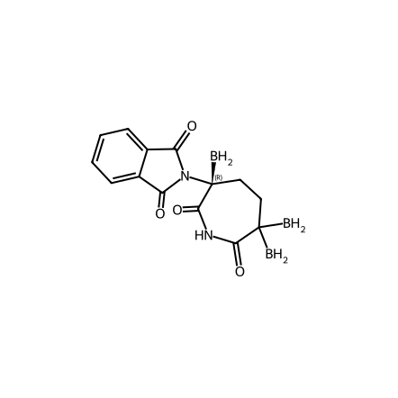 BC1(B)CC[C@@](B)(N2C(=O)c3ccccc3C2=O)C(=O)NC1=O